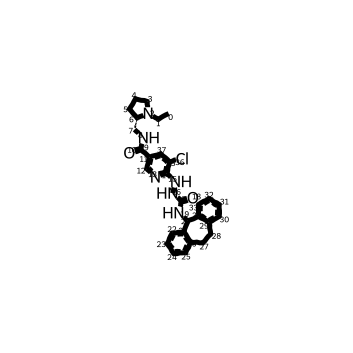 CCN1CCC[C@H]1CNC(=O)c1cnc(NNC(=O)NC2c3ccccc3CCc3ccccc32)c(Cl)c1